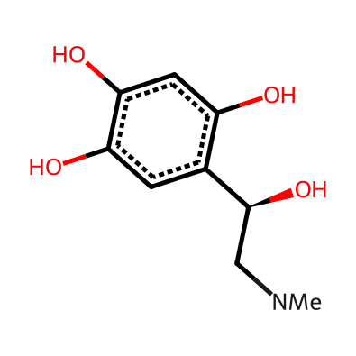 CNC[C@H](O)c1cc(O)c(O)cc1O